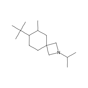 CC1CC2(CCC1C(C)(C)C)CN(C(C)C)C2